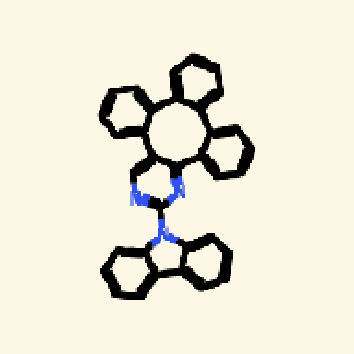 c1ccc2c(c1)-c1ccccc1-c1cnc(-n3c4ccccc4c4ccccc43)nc1-c1ccccc1-2